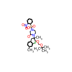 Cc1ccc(C[C@@](C)(COCOC(C)(C)C)N2CCN(S(=O)(=O)c3ccccc3[N+](=O)[O-])CC2=O)c(F)c1